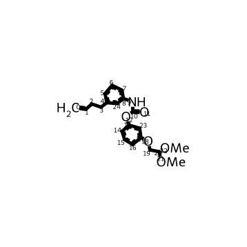 C=CCCc1cccc(NC(=O)Oc2cccc(OCC(OC)OC)c2)c1